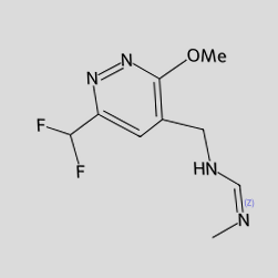 C/N=C\NCc1cc(C(F)F)nnc1OC